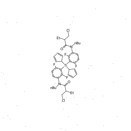 CCCCN(C(=O)C(CC)CCl)c1ccc(F)[c]([Ti]([c]2c(F)ccc(N(CCCC)C(=O)C(CC)CCl)c2F)([CH]2C=CC=C2)[CH]2C=CC=C2)c1F